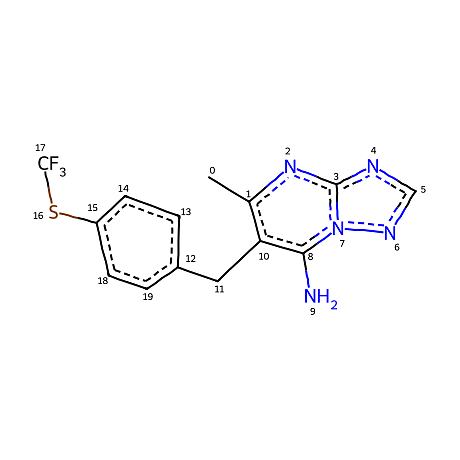 Cc1nc2ncnn2c(N)c1Cc1ccc(SC(F)(F)F)cc1